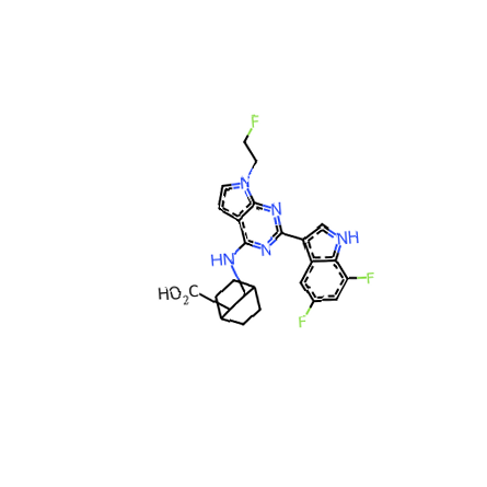 O=C(O)C1C2CCC(CC2)C1Nc1nc(-c2c[nH]c3c(F)cc(F)cc23)nc2c1ccn2CCF